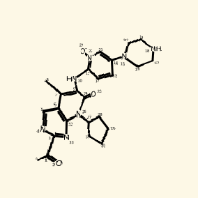 CC(=O)c1ncc2c(C)c(Nc3ccc(N4CCNCC4)c[n+]3[O-])c(=O)n(C3CCCC3)c2n1